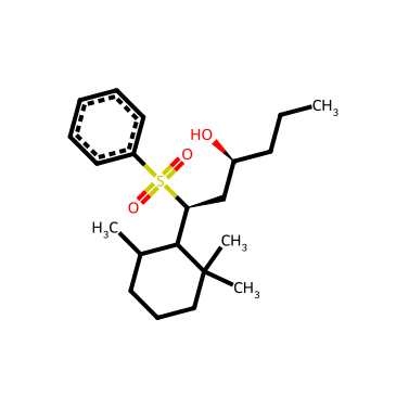 CCC[C@H](O)C[C@@H](C1C(C)CCCC1(C)C)S(=O)(=O)c1ccccc1